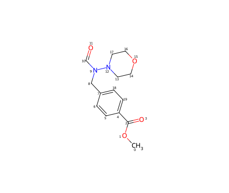 COC(=O)c1ccc(CN(C=O)N2CCOCC2)cc1